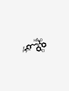 CNC(=O)C(c1ccccc1)N(CCCc1ccc(C(F)(F)F)nc1)c1cccc(Cl)c1